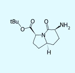 CC(C)(C)OC(=O)[C@@H]1CC[C@@H]2CC[C@H](N)C(=O)N21